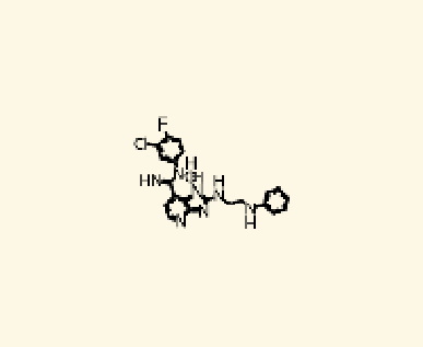 N=C(c1ccnc2nc(NCCNc3ccccc3)[nH]c12)N(O)c1ccc(F)c(Cl)c1